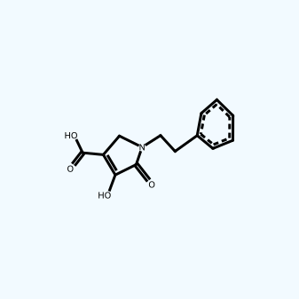 O=C(O)C1=C(O)C(=O)N(CCc2ccccc2)C1